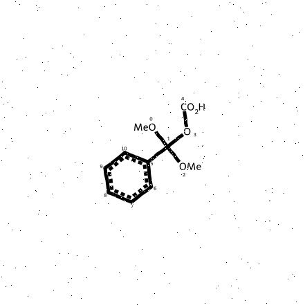 COC(OC)(OC(=O)O)c1ccccc1